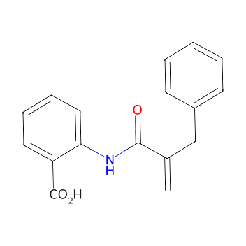 C=C(Cc1ccccc1)C(=O)Nc1ccccc1C(=O)O